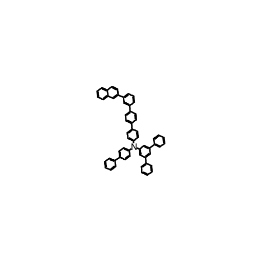 c1ccc(-c2ccc(N(c3ccc(-c4ccc(-c5cccc(-c6ccc7ccccc7c6)c5)cc4)cc3)c3cc(-c4ccccc4)cc(-c4ccccc4)c3)cc2)cc1